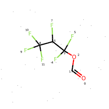 O=[C]OC(F)(F)[C](F)C(F)(F)F